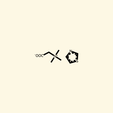 C[N+](C)(C)CC(=O)[O-].c1cscn1